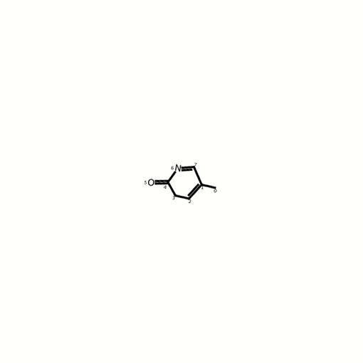 CC1=CCC(=O)N=C1